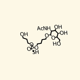 CC(=O)N[C@H]1C(O)[C@@H](O)C(CO)O[C@H]1OCCCCOP(=O)(S)OCCCO